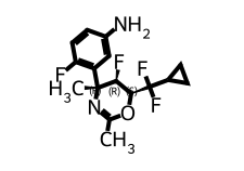 CC1=N[C@](C)(c2cc(N)ccc2F)[C@@H](F)[C@@H](C(F)(F)C2CC2)O1